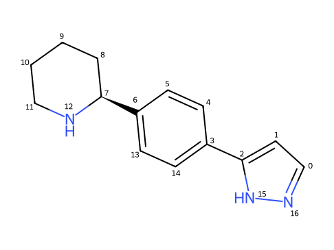 c1cc(-c2ccc([C@@H]3CCCCN3)cc2)[nH]n1